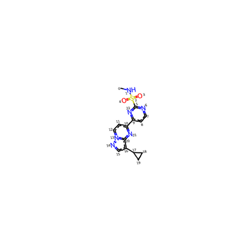 CNS(=O)(=O)c1nccc(-c2ccn3ncc(C4CC4)c3n2)n1